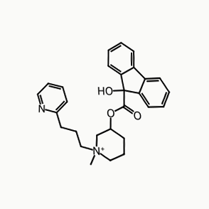 C[N+]1(CCCc2ccccn2)CCCC(OC(=O)C2(O)c3ccccc3-c3ccccc32)C1